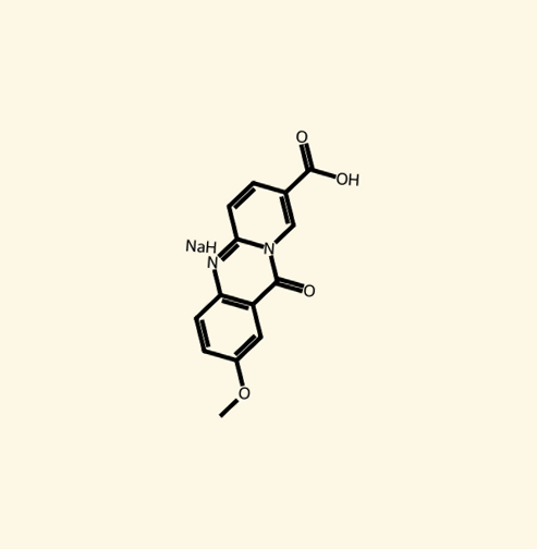 COc1ccc2nc3ccc(C(=O)O)cn3c(=O)c2c1.[NaH]